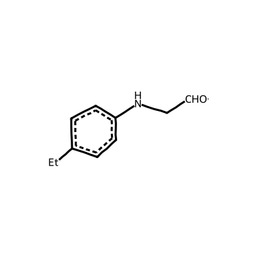 CCc1ccc(NC[C]=O)cc1